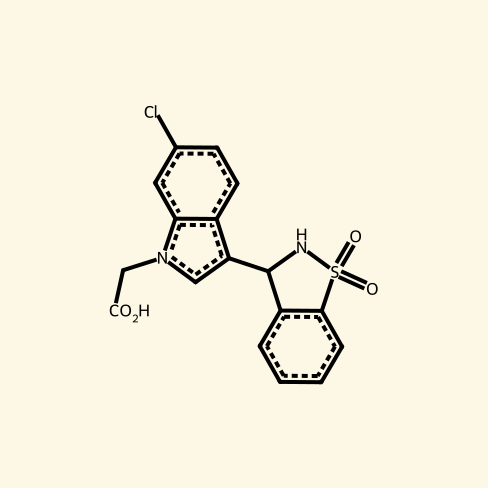 O=C(O)Cn1cc(C2NS(=O)(=O)c3ccccc32)c2ccc(Cl)cc21